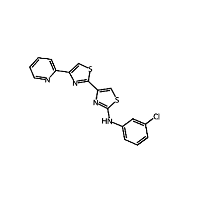 Clc1cccc(Nc2nc(-c3nc(-c4ccccn4)cs3)cs2)c1